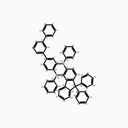 c1ccc(-c2cccc(-c3ccc4c(c3)N(c3ccccc3)c3ccc5c(c3N4c3ccccc3)-c3ccccc3C5(c3ccccc3)c3ccccc3)c2)cc1